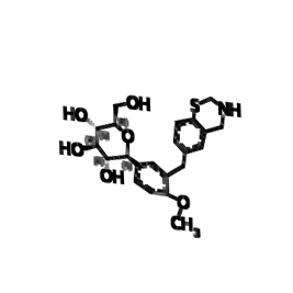 COc1ccc([C@@H]2O[C@H](CO)[C@@H](O)[C@H](O)[C@H]2O)cc1Cc1ccc2c(c1)CNCS2